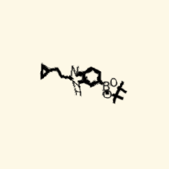 CC1(C)OB(c2ccc3nc(CCC4CC4)[nH]c3c2)OC1(C)C